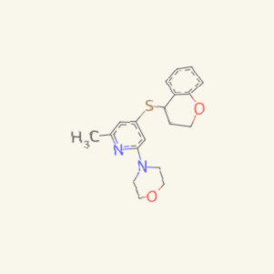 Cc1cc(SC2CCOc3ccccc32)cc(N2CCOCC2)n1